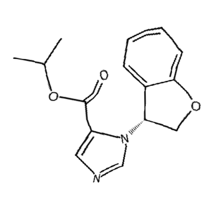 CC(C)OC(=O)c1cncn1[C@H]1COc2ccccc21